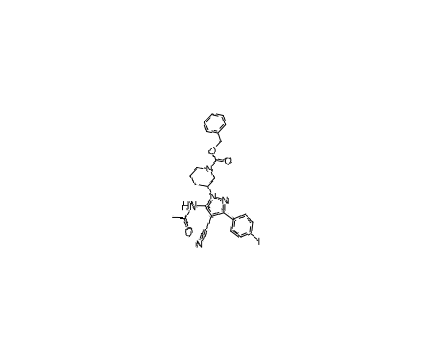 CC(=O)Nc1c(C#N)c(-c2ccc(I)cc2)nn1C1CCCN(C(=O)OCc2ccccc2)C1